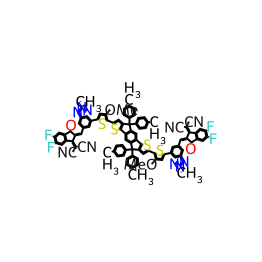 COc1cc(-c2cc(/C=C3\C(=O)c4cc(F)c(F)cc4C3=C(C#N)C#N)cc3nn(C)nc23)sc1-c1cc2c(s1)-c1cc3c(cc1C2(c1ccc(C)cc1)c1ccc(C)cc1)-c1sc(-c2sc(-c4cc(/C=C5\C(=O)c6cc(F)c(F)cc6C5=C(C#N)C#N)cc5nn(C)nc45)cc2OC)cc1C3(c1ccc(C)cc1)c1ccc(C)cc1